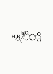 BC(C)(C)C(Br)Cc1cc2c(cc1O)OCO2